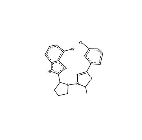 CC1SC(c2cccc(Cl)c2)=[C]N1N1CCCC1c1nc2c(Br)cccc2[nH]1